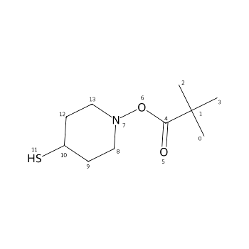 CC(C)(C)C(=O)ON1CCC(S)CC1